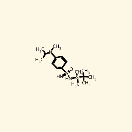 CC(C)N(C)c1ccc(S(=N)(=O)N[Si](C)(C)C(C)(C)C)cc1